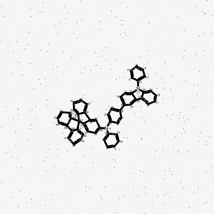 c1ccc(N(c2ccc(-c3ccc4c(c3)c3ccccc3n4-c3ccccc3)cc2)c2ccc3c(c2)-c2ccccc2C32c3ccccc3-c3ccccc32)cc1